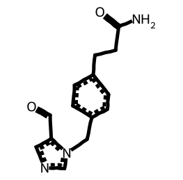 NC(=O)CCc1ccc(Cn2cncc2C=O)cc1